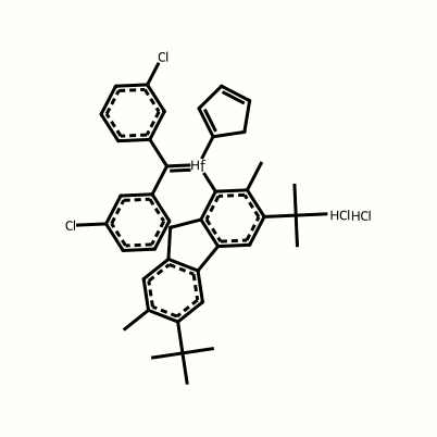 Cc1cc2c(cc1C(C)(C)C)-c1cc(C(C)(C)C)c(C)[c]([Hf]([C]3=CC=CC3)=[C](c3cccc(Cl)c3)c3cccc(Cl)c3)c1C2.Cl.Cl